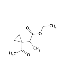 CCOC(=O)C(C)C1(C(C)=O)CC1